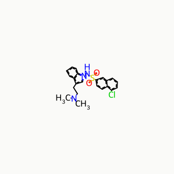 CN(C)CCc1cn(NS(=O)(=O)c2ccc3c(Cl)cccc3c2)c2ccccc12